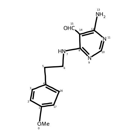 COc1ccc(CCNc2ncnc(N)c2C=O)cc1